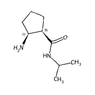 CC(C)NC(=O)[C@@H]1CCC[C@@H]1N